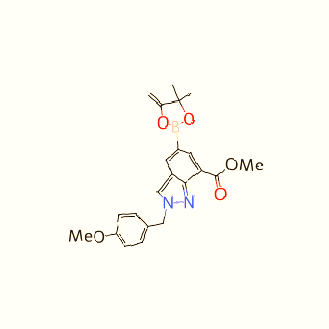 C=C1OB(c2cc(C(=O)OC)c3nn(Cc4ccc(OC)cc4)cc3c2)OC1(C)C